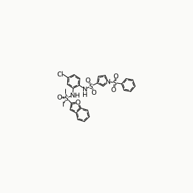 O=S(=O)(Nc1ccc(Cl)cc1NS(=O)(I)(I)c1cc2ccccc2o1)c1ccn(S(=O)(=O)c2ccccc2)c1